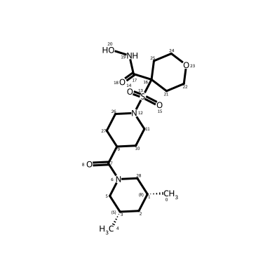 C[C@@H]1C[C@H](C)CN(C(=O)C2CCN(S(=O)(=O)C3(C(=O)NO)CCOCC3)CC2)C1